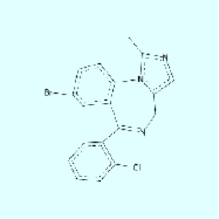 Cc1ncc2n1-c1ccc(Br)cc1C(c1ccccc1Cl)=NC2